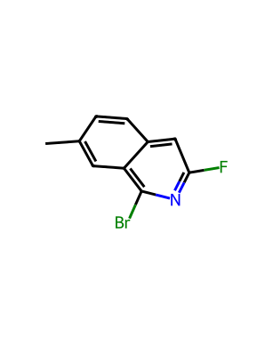 Cc1ccc2cc(F)nc(Br)c2c1